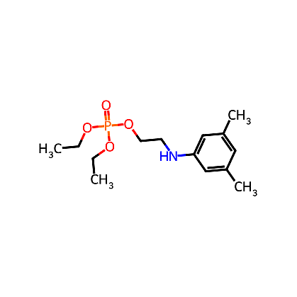 CCOP(=O)(OCC)OCCNc1cc(C)cc(C)c1